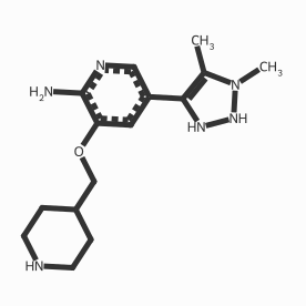 CC1=C(c2cnc(N)c(OCC3CCNCC3)c2)NNN1C